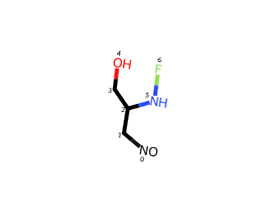 O=NCC(CO)NF